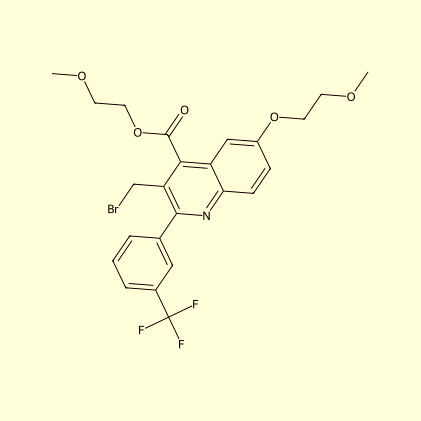 COCCOC(=O)c1c(CBr)c(-c2cccc(C(F)(F)F)c2)nc2ccc(OCCOC)cc12